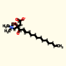 CCCCCCCCCCCC=CC(=O)C(O)(CC(=O)[O-])C[N+](C)(C)C